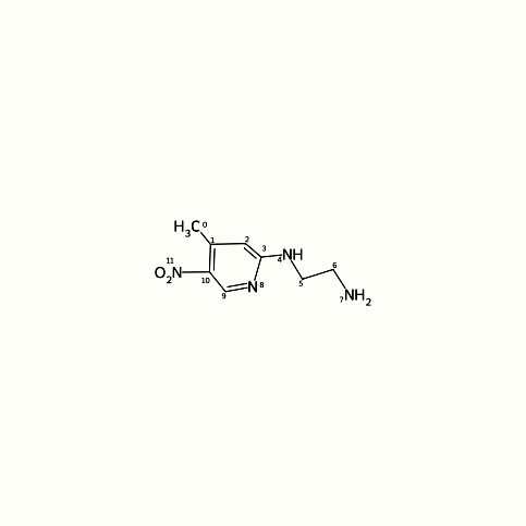 Cc1cc(NCCN)ncc1[N+](=O)[O-]